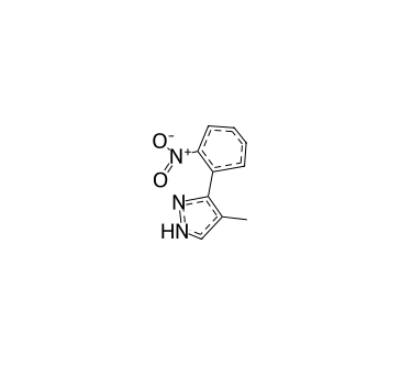 Cc1c[nH]nc1-c1ccccc1[N+](=O)[O-]